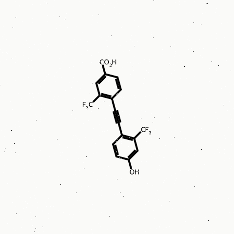 O=C(O)c1ccc(C#Cc2ccc(O)cc2C(F)(F)F)c(C(F)(F)F)c1